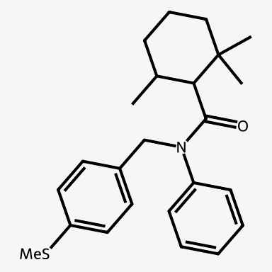 CSc1ccc(CN(C(=O)C2C(C)CCCC2(C)C)c2ccccc2)cc1